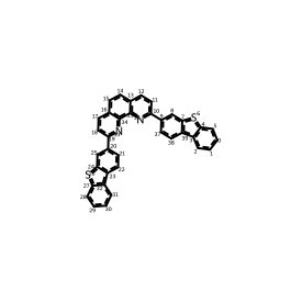 c1ccc2c(c1)sc1cc(-c3ccc4ccc5ccc(-c6ccc7c(c6)sc6ccccc67)nc5c4n3)ccc12